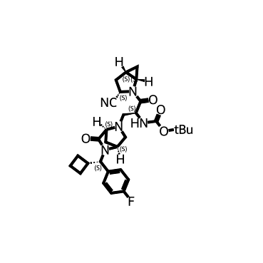 CC(C)(C)OC(=O)N[C@@H](CN1C[C@@H]2C[C@H]1C(=O)N2[C@H](c1ccc(F)cc1)C1CCC1)C(=O)N1[C@H](C#N)C[C@@H]2C[C@@H]21